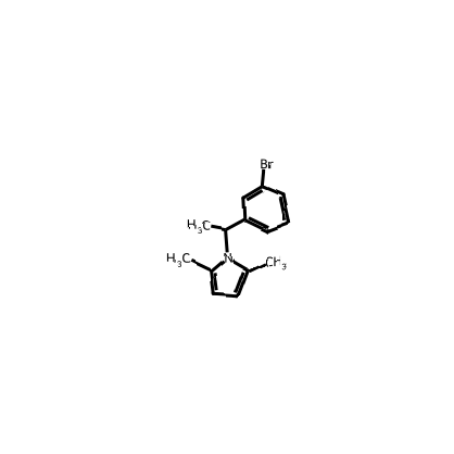 Cc1ccc(C)n1C(C)c1cccc(Br)c1